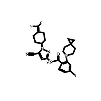 N#Cc1cc(NC(=O)c2ccc(I)cc2N2CCC3(CC2)CC3)nn1C1CCC(=C(F)F)CC1